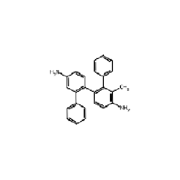 Cc1c(N)ccc(-c2ccc(N)cc2-c2ccccc2)c1-c1ccccc1